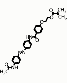 C=C(C)C(=O)OCCOc1ccc(C(=O)Nc2ccc(/N=N/c3ccc(NC(C)=O)cc3)cc2)cc1